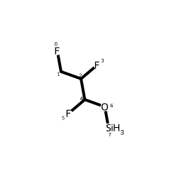 FCC(F)C(F)O[SiH3]